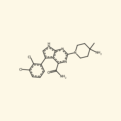 CC1(N)CCN(c2nc(C(N)=O)c3c(-c4cccc(Cl)c4Cl)c[nH]c3n2)CC1